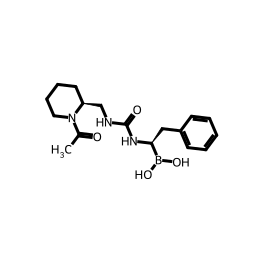 CC(=O)N1CCCC[C@H]1CNC(=O)N[C@@H](Cc1ccccc1)B(O)O